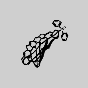 O=P(c1ccccc1)(c1ccccc1)C12Cc3cc4c5c6c(cc7cc8c9c%10c7c6c6c%10c7c%10c%11c%12c(c1c1c3c5c6c1c%127)C(CC%11=CC(C8)C9%10)C2)C4